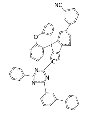 N#Cc1cccc(-c2ccc3c(c2)C2(c4ccccc4Oc4ccccc42)c2cc(-c4nc(-c5ccccc5)nc(-c5cccc(-c6ccccc6)c5)n4)ccc2-3)c1